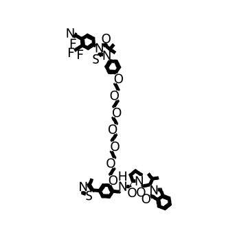 Cc1ncsc1-c1ccc(CNC(=O)[C@@H]2CCCN2C(=O)C(C(C)C)N2Cc3ccccc3C2=O)c(OCCOCCOCCOCCOCCOCCOc2ccc(N3C(=S)N(c4ccc(C#N)c(C(F)(F)F)c4)C(=O)C3(C)C)cc2)c1